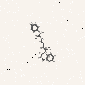 O=C(Nc1ccc(F)cc1)SCCCC(=O)N1CCCC2CCCCC21